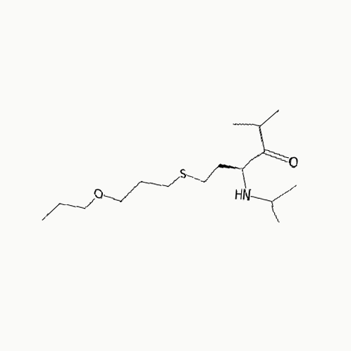 CCCOCCCSCC[C@H](NC(C)C)C(=O)C(C)C